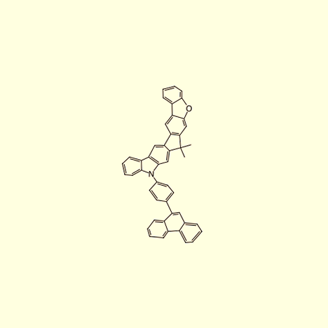 CC1(C)c2cc3oc4ccccc4c3cc2-c2cc3c4ccccc4n(-c4ccc(-c5cc6ccccc6c6ccccc56)cc4)c3cc21